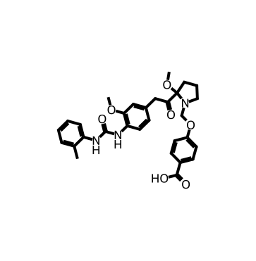 COc1cc(CC(=O)C2(OC)CCCN2COc2ccc(C(=O)O)cc2)ccc1NC(=O)Nc1ccccc1C